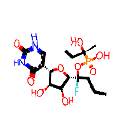 CCCC(F)(OP(=O)(O)[C@@](C)(O)CC)[C@H]1O[C@@H](c2c[nH]c(=O)[nH]c2=O)[C@H](O)[C@@H]1O